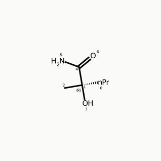 CCC[C@@](C)(O)C(N)=O